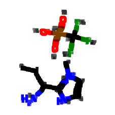 CCC(N)c1[nH]cc[n+]1C.O=S(=O)([O-])C(F)(F)F